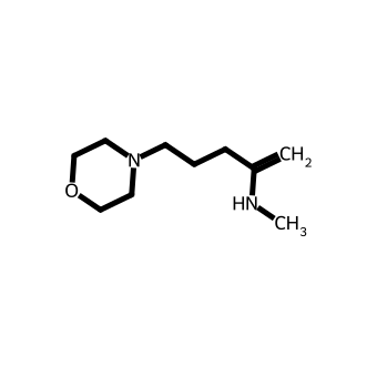 C=C(CCCN1CCOCC1)NC